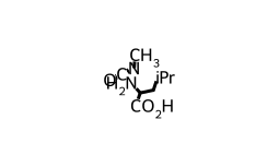 CC(C)CC(N)C(=O)O.CN=C=O